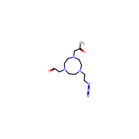 CC(=O)CN1CCN(CC=O)CCN(CCN=[N+]=[N-])CC1